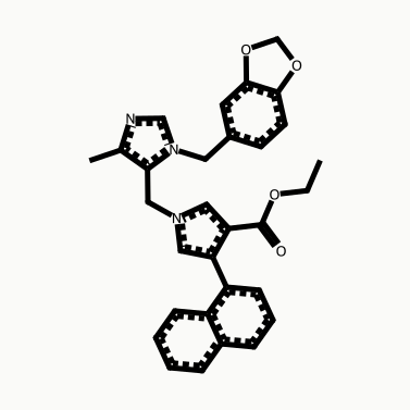 CCOC(=O)c1cn(Cc2c(C)ncn2Cc2ccc3c(c2)OCO3)cc1-c1cccc2ccccc12